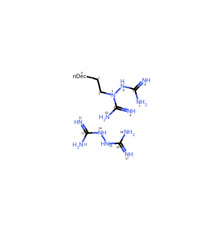 CCCCCCCCCCCCN(NC(=N)N)C(=N)N.N=C(N)NNC(=N)N